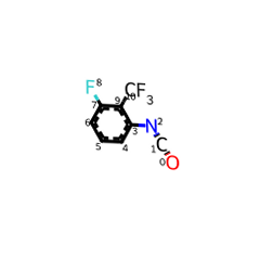 O=C=Nc1cccc(F)c1C(F)(F)F